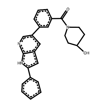 O=C(c1cccc(-c2cnc3[nH]c(-c4ccccc4)cc3c2)c1)N1CCC(O)CC1